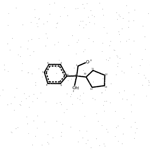 [O]CC(O)(c1ccccc1)C1CCCC1